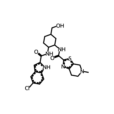 CN1CCc2nc(C(=O)NC3CC(CO)CCC3NC(=O)c3cc4cc(Cl)ccc4[nH]3)sc2C1